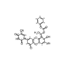 CC(C)C1=CC(Oc2c(Cl)cc(-n3nc(C#N)c(=O)[nH]c3=O)cc2Cl)=NN(C(C)OC(=O)Oc2ccccc2)C1O